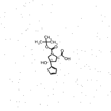 CC(C)(C)OC(=O)N1C[C@](O)(c2cccs2)C[C@H]1C(=O)O